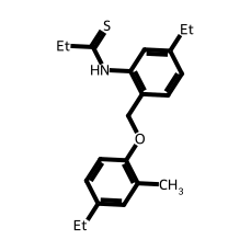 CCC(=S)Nc1cc(CC)ccc1COc1ccc(CC)cc1C